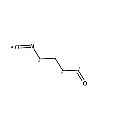 O=CCCCN=O